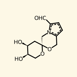 O=Cc1ccc2n1C[C@]1(C[C@H](O)[C@H](O)CO1)OC2